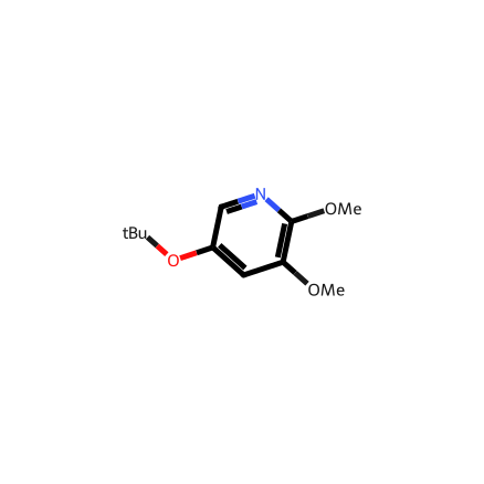 COc1cc(OC(C)(C)C)cnc1OC